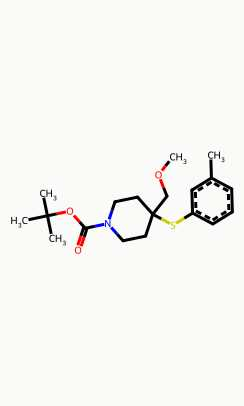 COCC1(Sc2cccc(C)c2)CCN(C(=O)OC(C)(C)C)CC1